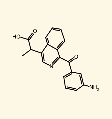 CC(C(=O)O)c1cnc(C(=O)c2cccc(N)c2)c2ccccc12